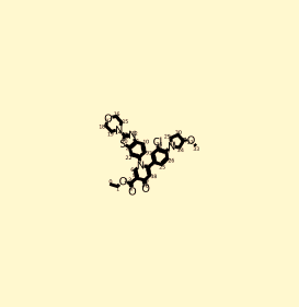 CCOC(=O)c1cn(-c2ccc3nc(N4CCOCC4)sc3c2)c(-c2ccc(N3CC[C@@H](OC)C3)c(Cl)c2)cc1=O